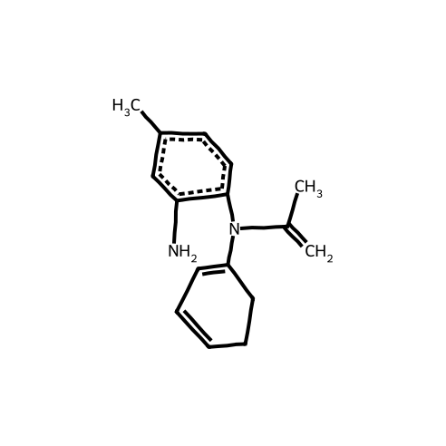 C=C(C)N(C1=CC=CCC1)c1ccc(C)cc1N